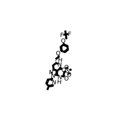 Cc1ccc(-n2nc3c(c2NC(=O)CS(C)(=O)=O)C(=O)N[C@@H](CCOc2cccc(OCC(C)(F)F)c2)C3)nc1